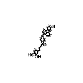 CC(OCCN1CCN(C(=O)C=CC=Cc2ccc(O)c(O)c2)CC1)(c1ccccc1)c1ccc(Cl)cc1